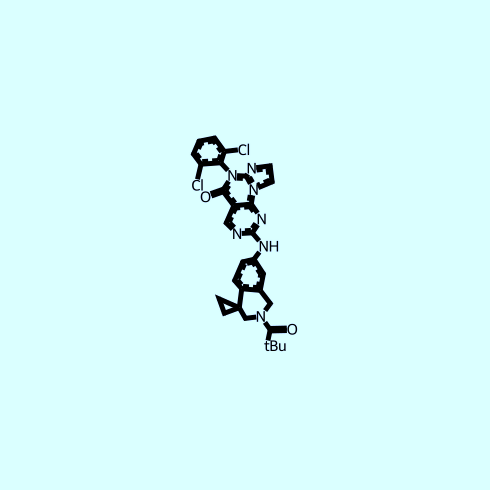 CC(C)(C)C(=O)N1Cc2cc(Nc3ncc4c(=O)n(-c5c(Cl)cccc5Cl)c5nccn5c4n3)ccc2C2(CC2)C1